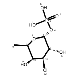 C[C@H]1O[C@H](OP(=O)(O)O)[C@H](O)[C@@H](O)[C@H]1O